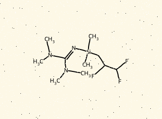 CN(C)C(=N[Si](C)(C)CC(F)C(F)F)N(C)C